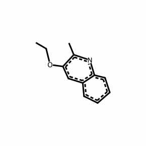 CCOc1cc2ccccc2nc1C